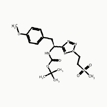 COc1ccc(C[C@H](NC(=O)OC(C)(C)C)c2nnn(CCS(C)(=O)=O)n2)cc1